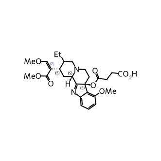 CCC1CN2CC[C@@]3(OC(=O)CCC(=O)O)C(=Nc4cccc(OC)c43)[C@@H]2C[C@@H]1/C(=C/OC)C(=O)OC